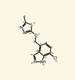 Cc1nnc(OCc2ccc(Cl)c3[nH]ncc23)s1